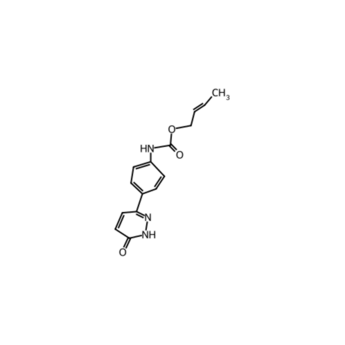 C/C=C/COC(=O)Nc1ccc(-c2ccc(=O)[nH]n2)cc1